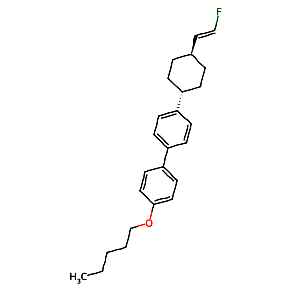 CCCCCOc1ccc(-c2ccc([C@H]3CC[C@H](C=CF)CC3)cc2)cc1